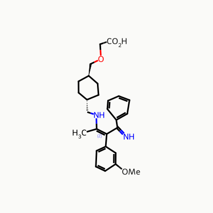 COc1cccc(/C(C(=N)c2ccccc2)=C(\C)NC[C@H]2CC[C@H](COCC(=O)O)CC2)c1